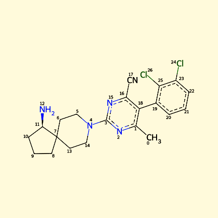 Cc1nc(N2CCC3(CCC[C@H]3N)CC2)nc(C#N)c1-c1cccc(Cl)c1Cl